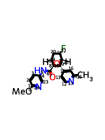 COc1ccc(NC(=O)[C@@H]2[C@@H](c3ccnc(C)c3)[C@H]3O[C@@H]2C[C@H]3F)cn1